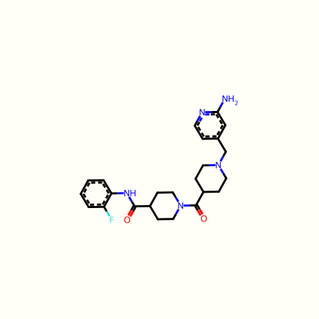 Nc1cc(CN2CCC(C(=O)N3CCC(C(=O)Nc4ccccc4F)CC3)CC2)ccn1